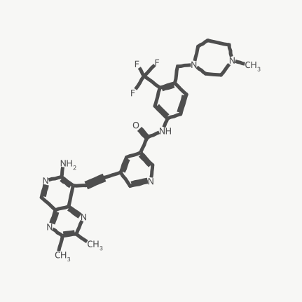 Cc1nc2cnc(N)c(C#Cc3cncc(C(=O)Nc4ccc(CN5CCCN(C)CC5)c(C(F)(F)F)c4)c3)c2nc1C